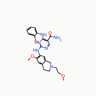 COCCN1CCc2cc(OC)c(Nc3ncc(C(N)=O)c(Nc4ccccc4Br)n3)cc2C1